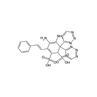 NC1=C(N)C(c2ccnnn2)(c2ccnnn2)C(S(=O)(=O)O)C(S(=O)(=O)O)=C1C=Cc1ccccc1